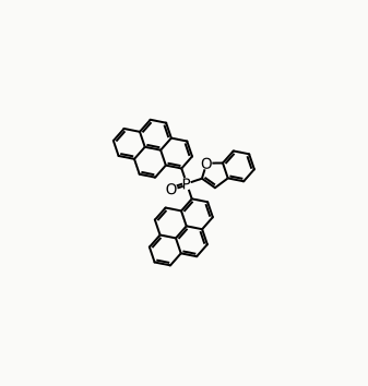 O=P(c1cc2ccccc2o1)(c1ccc2ccc3cccc4ccc1c2c34)c1ccc2ccc3cccc4ccc1c2c34